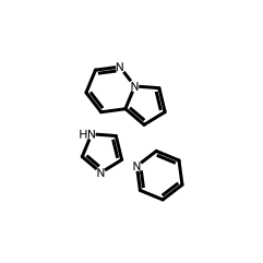 c1c[nH]cn1.c1ccncc1.c1cnn2cccc2c1